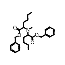 CCCCC(C(=O)OCc1ccccc1)N(C)C(CCCC)C(=O)OCc1ccccc1